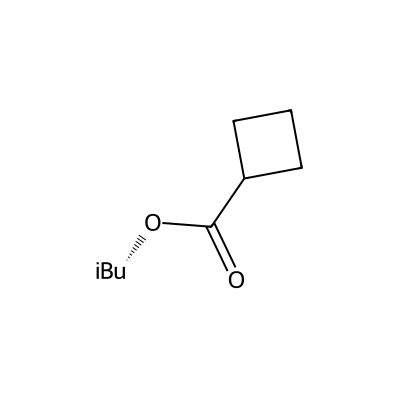 CC[C@@H](C)OC(=O)C1CCC1